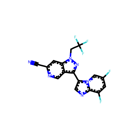 N#Cc1cc2c(cn1)c(-c1cnc3c(F)cc(F)cn13)nn2CC(F)(F)F